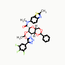 CC(=O)O[C@@H]1[C@@H](n2cc(-c3cc(F)c(F)c(F)c3)nn2)[C@H]2OC(c3ccccc3)OC[C@H]2O[C@H]1C(=O)N(C)c1ccc2nc(C)sc2c1